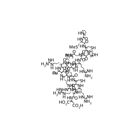 CC[C@H](C)[C@H](NC(=O)[C@H](CCCNC(=N)N)NC(=O)[C@H](CC(N)=O)NC(=O)[C@H](C)NC(=O)[C@H](CCCNC(=N)N)NC(=O)[C@H](CCC(N)=O)NC(=O)[C@@H](NC(=O)[C@H](CS)NC(=O)[C@H](CCSC)NC(=O)[C@@H]1CCCN1)[C@@H](C)O)C(=O)N[C@@H](CCCNC(=N)N)C(=O)N[C@@H](CC(C)C)C(=O)N[C@@H](CS)C(=O)N[C@@H](CCCNC(=N)N)C(=O)N[C@@H](CCCNC(=N)N)C(=O)N[C@@H](CC(=O)O)C(=O)O